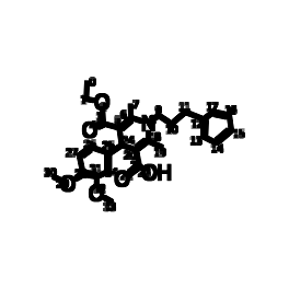 CCOC(=O)C1=C(C)N(CCCc2ccccc2)C(C)=C(C(=O)O)C1c1ccc(OC)c(OC)c1